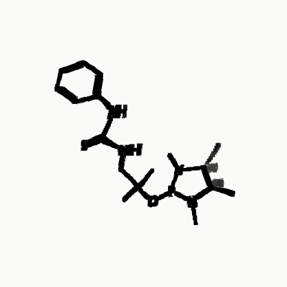 C[C@@H]1[C@@H](C)N(C)P(OC(C)(C)CNC(=S)Nc2ccccc2)N1C